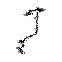 CCN1\C(=C/C=C/C=C/C2=[N+](CCCCCC(=O)NCCOCCOCCNC(=O)OCCC(C)(C)SSCOCCCCOC(=O)NCC#Cc3cn([C@H]4CC[C@@H](COP(=O)(O)O[PH](=O)OP(=O)(O)O)O4)c4nc(N)[nH]c(=O)c34)c3ccc(S(=O)(=O)O)cc3C2(C)C)C(C)(C)c2cc(S(=O)(=O)O)ccc21